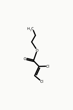 CCCOC(=O)C(Cl)=CCl